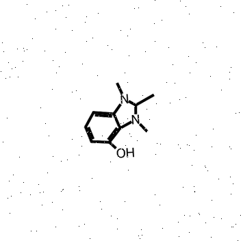 CC1N(C)c2cccc(O)c2N1C